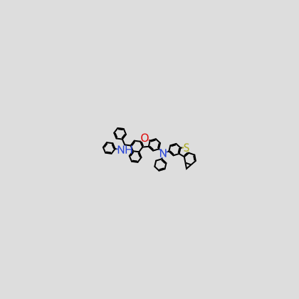 C1=CCCC(N(c2ccc3sc4c(c3c2)C2CC2C=C4)c2ccc3oc4cc(C(Nc5ccccc5)c5ccccc5)c5ccccc5c4c3c2)=C1